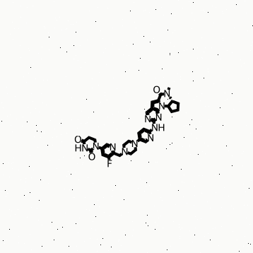 CN(C)C(=O)c1cc2cnc(Nc3ccc(N4CCN(Cc5ncc(N6CCC(=O)NC6=O)cc5F)CC4)cn3)nc2n1C1CCCC1